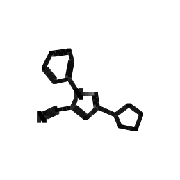 N#Cc1cc(C2CCCC2)cn1-c1ccccc1